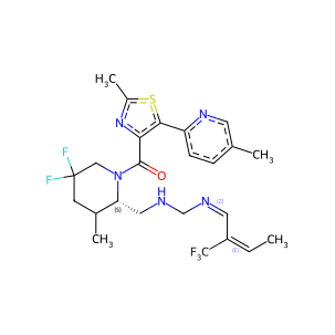 C/C=C(\C=N/CNC[C@@H]1C(C)CC(F)(F)CN1C(=O)c1nc(C)sc1-c1ccc(C)cn1)C(F)(F)F